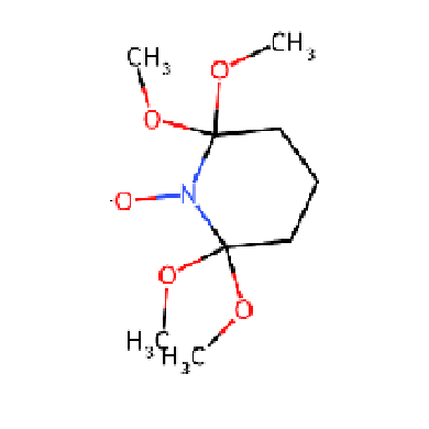 COC1(OC)CCCC(OC)(OC)N1[O]